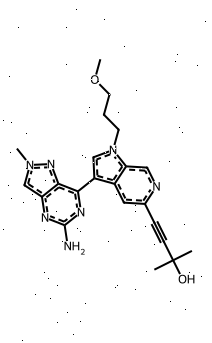 COCCCn1cc(-c2nc(N)nc3cn(C)nc23)c2cc(C#CC(C)(C)O)ncc21